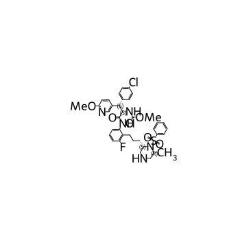 COC(=O)N[C@H](C(=O)Nc1cccc(F)c1CCC[C@H]1CNC[C@@H](C)N1S(=O)(=O)c1ccccc1)[C@@H](c1ccc(Cl)cc1)c1ccc(OC)nc1